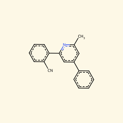 Cc1cc(-c2ccccc2)cc(-c2ccccc2C#N)n1